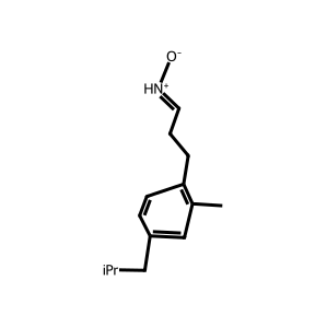 Cc1cc(CC(C)C)ccc1CC/C=[NH+]/[O-]